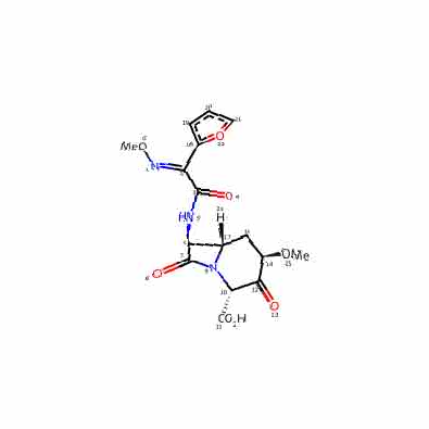 CON=C(C(=O)N[C@@H]1C(=O)N2[C@@H](C(=O)O)C(=O)[C@H](OC)C[C@@H]12)c1ccco1